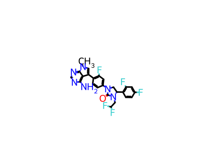 Cn1cc(-c2ccc(N3CC(c4ccc(F)cc4F)N(CC(F)F)C3=O)cc2F)c2c(N)ncnc21